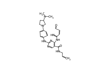 C=CCNC(=O)c1cnc(Nc2ccc(N3CCC(N(C)C)C3)cc2)nc1NC(=N)/C=C\C=O